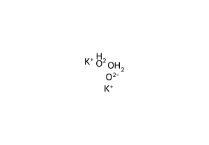 O.O.[K+].[K+].[O-2]